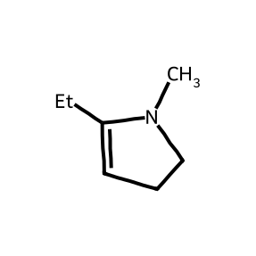 CCC1=CCCN1C